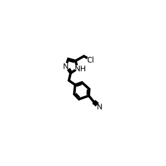 N#Cc1ccc(Cc2ncc(CCl)[nH]2)cc1